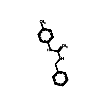 C=C(NCc1ccccc1)Nc1ccc(C)cc1